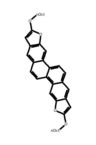 CCCCCCCCOc1cc2cc3ccc4c5cc6oc(OCCCCCCCC)cc6cc5ccc4c3cc2o1